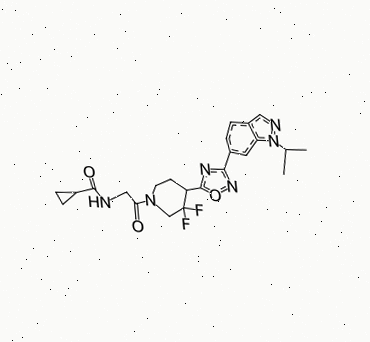 CC(C)n1ncc2ccc(-c3noc(C4CCN(C(=O)CNC(=O)C5CC5)CC4(F)F)n3)cc21